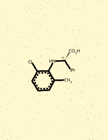 Cc1cccc(Cl)c1N[C@H](C(=O)O)C(C)C